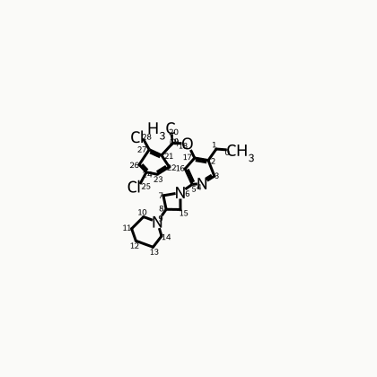 CCc1cnc(N2CC(N3CCCCC3)C2)cc1O[C@H](C)c1ccc(Cl)cc1Cl